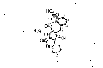 CS[C@@H](C1CCNCC1)C(NC1CCc2ccccc2N(CC(=O)O)C1=O)C(=O)O.O